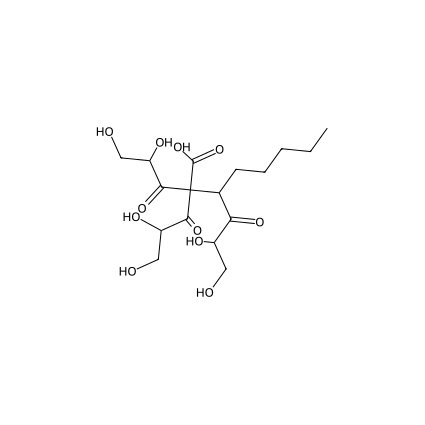 CCCCCC(C(=O)C(O)CO)C(C(=O)O)(C(=O)C(O)CO)C(=O)C(O)CO